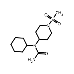 CS(=O)(=O)N1CCC(N(C(N)=O)C2CCCCC2)CC1